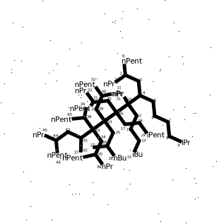 CCCCCC(CCC)C[C](CCCCC(C)C)C(CCC)(CCCC(C)CC)C(CCC(C)CCC)(CC(CCC)CCCCC)C(CC(C)CCCC)(CC(CCC)CCCCC)C(CC(CCC)CCCCC)(C(C)CCCCC)C(C)CC(CCC)CCCCC